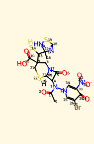 CC(=O)N(C1C(=O)N2CC(C(=O)O)(C(S)C3(C)N=CSN3)CS[C@H]12)n1cc(Br)c(=O)c([N+](=O)[O-])c1